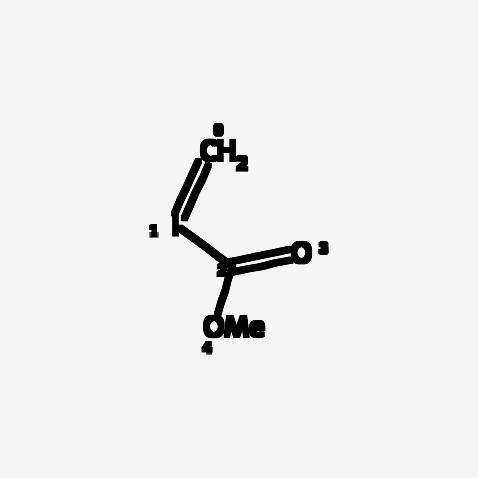 C=IC(=O)OC